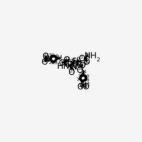 C[C@@]1(COC(N)=O)S[C@@H]2[C@H](NC(=O)OCc3ccc([N+](=O)[O-])cc3)C(=O)N2[C@H]1C(=O)OCc1ccc([N+](=O)[O-])cc1